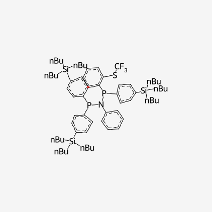 CCCC[Si](CCCC)(CCCC)c1ccc(P(c2ccc([Si](CCCC)(CCCC)CCCC)cc2)N(c2ccccc2)P(c2ccc([Si](CCCC)(CCCC)CCCC)cc2)c2ccccc2SC(F)(F)F)cc1